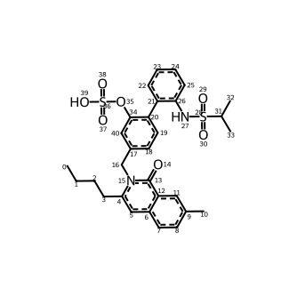 CCCCc1cc2ccc(C)cc2c(=O)n1Cc1ccc(-c2ccccc2NS(=O)(=O)C(C)C)c(OS(=O)(=O)O)c1